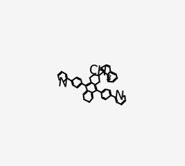 CC1Cc2c(c(-c3ccc(-c4ccccn4)cc3)c3c(c2-c2ccc(-c4ccccn4)cc2)=CCCC=3)CC1c1cccc2ccccc12